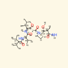 CC[C@H](C)[C@@H]([C@@H](CC(=O)N1CCC[C@H]1[C@H](OC)[C@@H](C)C(=O)NC)OC)N(C)C(=O)[C@@H](NC(=O)C(C(C)C)C(C)C)C(C)C